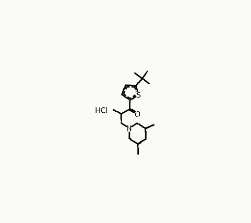 CC1CC(C)CN(CC(C)C(=O)c2ccc(C(C)(C)C)s2)C1.Cl